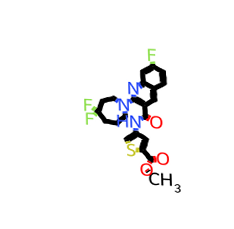 COC(=O)c1cc(NC(=O)c2cc3ccc(F)cc3nc2N2CCCC(F)(F)CC2)cs1